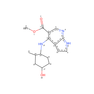 CCCOC(=O)c1cnc2[nH]ccc2c1NC1CCC(O)CC1C